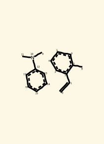 C=Cc1ccccc1C.CN(C)c1ccccc1